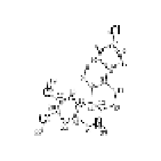 CCC1C(c2ccc(Cl)cc2)CCC2C1c1cc(OC)c(OC)cc1CN2C